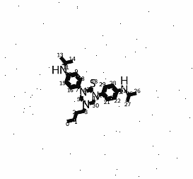 CCCCN1CN(c2ccc(NC(C)C)cc2)C(=S)N(c2ccc(NC(C)C)cc2)C1